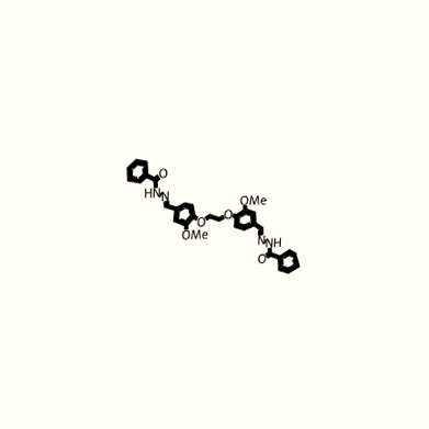 COc1cc(C=NNC(=O)c2ccccc2)ccc1OCCOc1ccc(C=NNC(=O)c2ccccc2)cc1OC